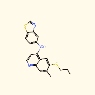 CCCSc1cc2c(Nc3ccc4scnc4c3)ccnc2cc1C